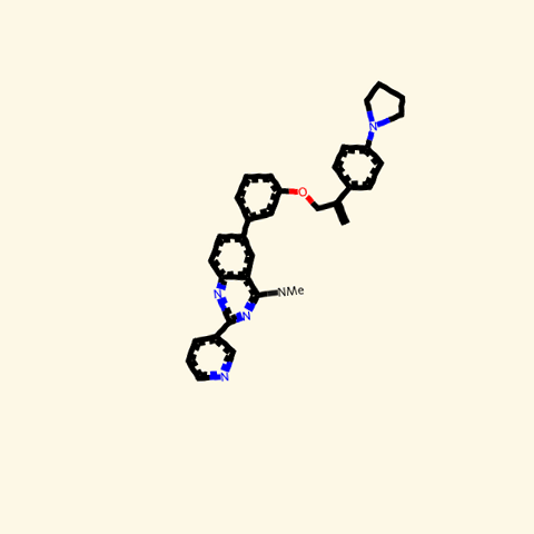 C=C(COc1cccc(-c2ccc3nc(-c4cccnc4)nc(NC)c3c2)c1)c1ccc(N2CCCC2)cc1